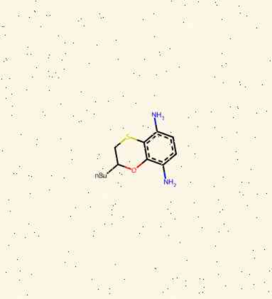 CCCCC1CSc2c(N)ccc(N)c2O1